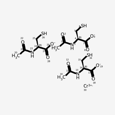 CC(=O)N[C@@H](CS)C(=O)[O-].CC(=O)N[C@@H](CS)C(=O)[O-].CC(=O)N[C@@H](CS)C(=O)[O-].[Cr+3]